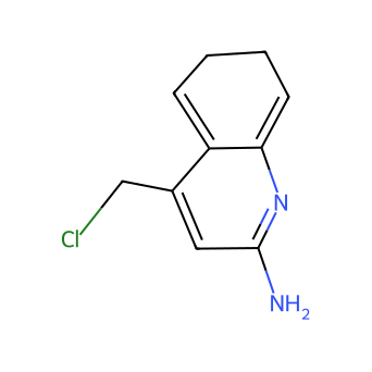 Nc1cc(CCl)c2c(n1)=CCCC=2